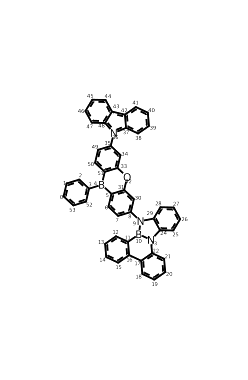 c1ccc(B2c3ccc(N4B5c6ccccc6-c6ccccc6N5c5ccccc54)cc3Oc3cc(-n4c5ccccc5c5ccccc54)ccc32)cc1